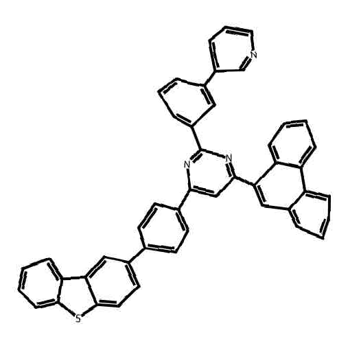 c1cncc(-c2cccc(-c3nc(-c4ccc(-c5ccc6sc7ccccc7c6c5)cc4)cc(-c4cc5ccccc5c5ccccc45)n3)c2)c1